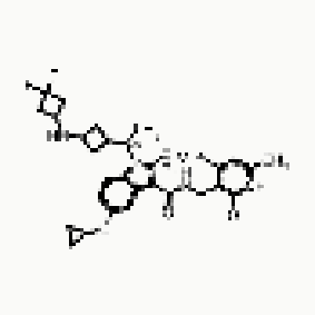 CSc1cc(C)[nH]c(=O)c1CNC(=O)c1c(C)n([C@H](C)C2CC(NC3CC(F)(F)C3)C2)c2ccc(OC3CC3)cc12